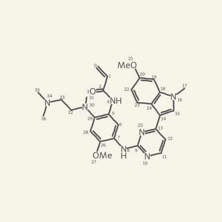 C=CC(=O)Nc1cc(Nc2nccc(-c3cn(C)c4cc(OC)ccc34)n2)c(OC)cc1N(C)CCN(C)C